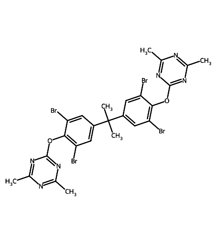 Cc1nc(C)nc(Oc2c(Br)cc(C(C)(C)c3cc(Br)c(Oc4nc(C)nc(C)n4)c(Br)c3)cc2Br)n1